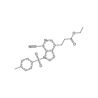 CCOC(=O)CCc1cnc(C#N)c2c1ccn2S(=O)(=O)c1ccc(C)cc1